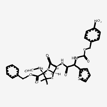 CC1(C)S[C@@H]2[C@H](NC(=O)C(NC(=O)OCc3ccc([N+](=O)[O-])cc3)c3cccs3)C(=O)N2[C@@]1(NC=O)C(=O)OCc1ccccc1